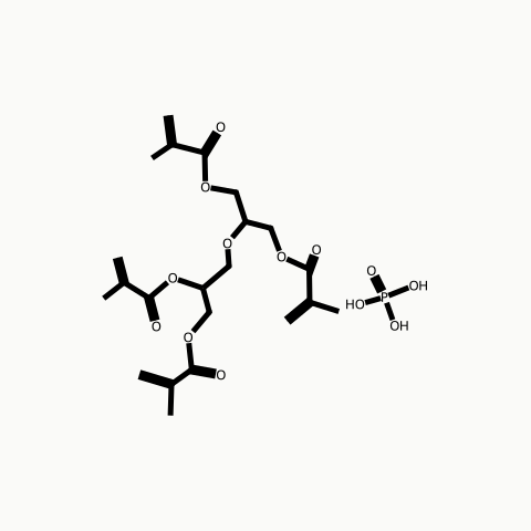 C=C(C)C(=O)OCC(COC(=O)C(=C)C)OCC(COC(=O)C(=C)C)OC(=O)C(=C)C.O=P(O)(O)O